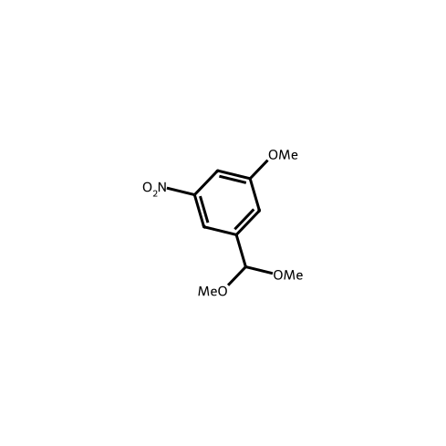 COc1cc(C(OC)OC)cc([N+](=O)[O-])c1